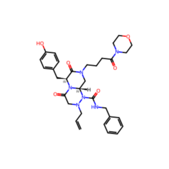 C=CCN1CC(=O)N2[C@@H](Cc3ccc(O)cc3)C(=O)N(CCCC(=O)N3CCOCC3)C[C@@H]2N1C(=O)NCc1ccccc1